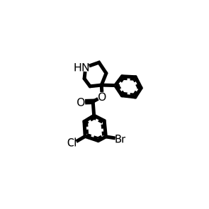 O=C(OC1(c2ccccc2)CCNCC1)c1cc(Cl)cc(Br)c1